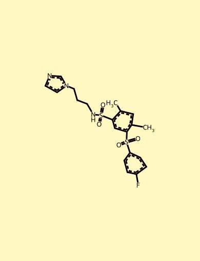 Cc1cc(C)c(S(=O)(=O)c2ccc(F)cc2)cc1S(=O)(=O)NCCCn1ccnc1